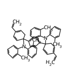 C=CC1=CCC(c2ccc(C3(N(c4ccccc4C)c4ccccc4C)C=CC(C=C)=CC3)cc2)(N(c2ccccc2C)c2ccccc2C)C=C1